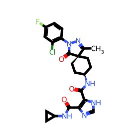 CC1=NN(c2ccc(F)cc2Cl)C(=O)[C@]12CC[C@H](NC(=O)c1[nH]cnc1C(=O)NC1CC1)CC2